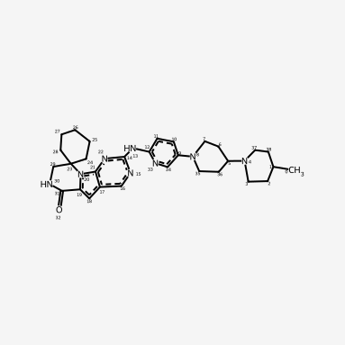 CC1CCN(C2CCN(c3ccc(Nc4ncc5cc6n(c5n4)C4(CCCCC4)CNC6=O)nc3)CC2)CC1